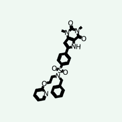 Cn1c(=O)c2[nH]c(-c3ccc(S(=O)(=O)N(CCOc4ccccn4)Cc4ccccc4)cc3)cc2n(C)c1=O